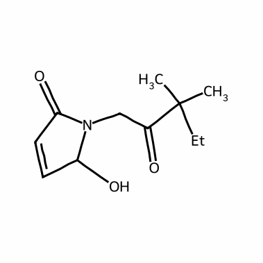 CCC(C)(C)C(=O)CN1C(=O)C=CC1O